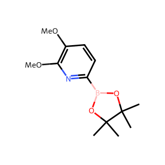 COc1ccc(B2OC(C)(C)C(C)(C)O2)nc1OC